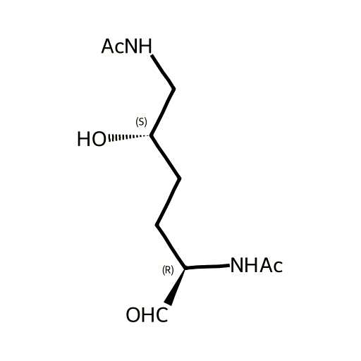 CC(=O)NC[C@@H](O)CC[C@H](C=O)NC(C)=O